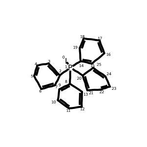 IP(c1ccccc1)(c1ccccc1)(c1ccccc1)c1ccccc1